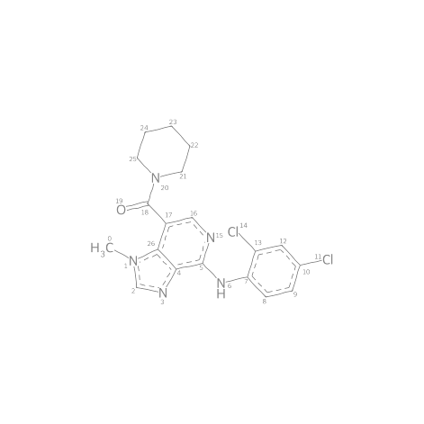 Cn1cnc2c(Nc3ccc(Cl)cc3Cl)ncc(C(=O)N3CCCCC3)c21